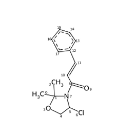 CC1(C)OCC(Cl)N1C(=O)C=Cc1ccccc1